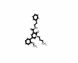 CCCCn1cc(-c2ccccc2OC)cc(C(=O)NCCc2ccccc2)c1=O